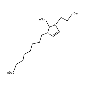 CCCCCCCCCCCCCCCCCN1C=CN(CCCCCCCCCCCC)C1CCCCCCCCC